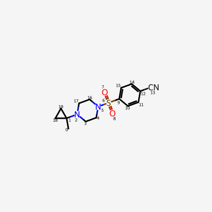 CC1(N2CCN(S(=O)(=O)c3ccc(C#N)cc3)CC2)CC1